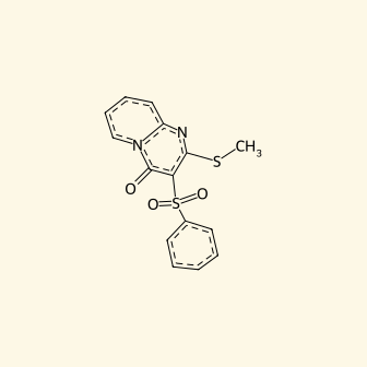 CSc1nc2ccccn2c(=O)c1S(=O)(=O)c1ccccc1